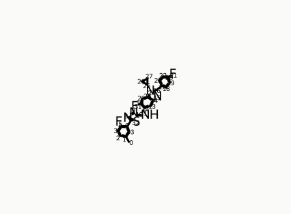 Cc1ccc(F)c(-c2nnc(Nc3cc4nc(-c5ccc(F)cc5)n(C5CC5)c4cc3F)s2)c1